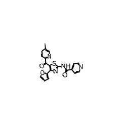 Cc1ccc(C(=O)c2sc(NC(=O)c3ccncc3)nc2-c2ccco2)nc1